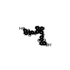 O=C1c2ccc(Oc3ccc(C4(c5ccc(Oc6ccc7c(c6)C(=O)N(c6cccc8cc(O)ccc68)C7=O)cc5)c5ccccc5-c5ccccc54)cc3)cc2C(=O)N1c1cccc2cc(O)ccc12